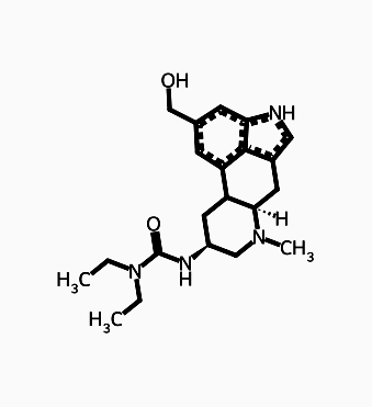 CCN(CC)C(=O)N[C@H]1CC2c3cc(CO)cc4[nH]cc(c34)C[C@H]2N(C)C1